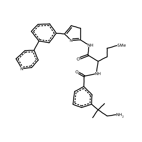 CSCCC(NC(=O)c1cccc(C(C)(C)CN)c1)C(=O)NC1=NC(c2cccc(-c3ccncc3)c2)=CC1